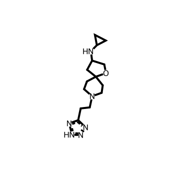 C(CN1CCC2(CC1)CC(NC1CC1)CO2)c1nn[nH]n1